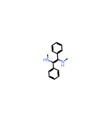 CNC(=C(NC)c1ccccc1)c1ccccc1